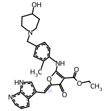 CCOC(=O)C1=C(Nc2ccc(CN3CCC(O)CC3)cc2C)O/C(=C\c2c[nH]c3ncccc23)C1=O